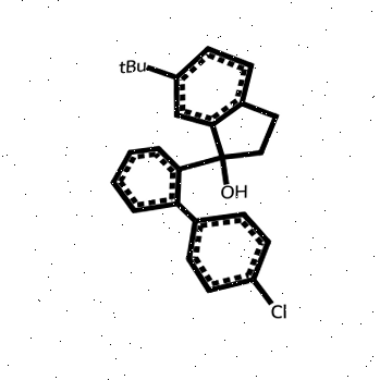 CC(C)(C)c1ccc2c(c1)C(O)(c1ccccc1-c1ccc(Cl)cc1)CC2